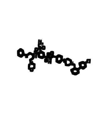 CS(=O)(=O)c1cc(P(=O)(O)NC(=O)c2ccc(N3CCN(Cc4ccccc4-c4ccc(Cl)cc4)CC3)cc2)ccc1NC(CCN1CCOCC1)CSc1ccccc1